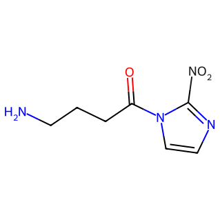 NCCCC(=O)n1ccnc1[N+](=O)[O-]